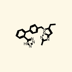 CCc1cc2nc(C)nn2n1Cc1ccc(-c2ccccc2-c2nnn[nH]2)cc1